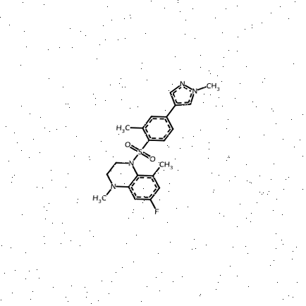 Cc1cc(-c2cnn(C)c2)ccc1S(=O)(=O)N1CCN(C)c2cc(F)cc(C)c21